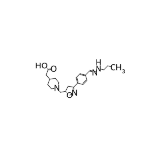 CCCNN=Cc1ccc(C2=NOC(CN3CCC(CC(=O)O)CC3)C2)cc1